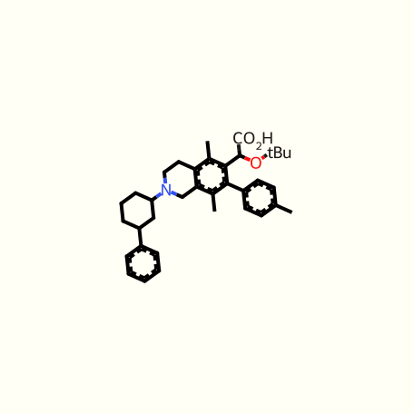 Cc1ccc(-c2c(C)c3c(c(C)c2C(OC(C)(C)C)C(=O)O)CCN(C2CCCC(c4ccccc4)C2)C3)cc1